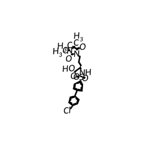 CN1C(=O)N(CCC[C@@H](NS(=O)(=O)c2ccc(-c3ccc(Cl)cc3)cc2)C(=O)O)C(=O)C1(C)C